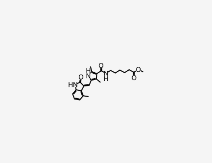 COC(=O)CCCCCNC(=O)c1c(C)[nH]c(/C=C2\C(=O)Nc3cccc(C)c32)c1C